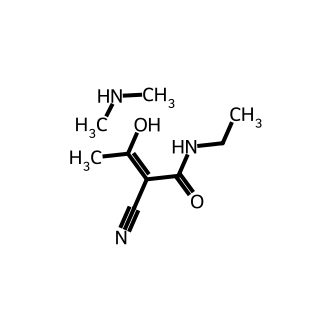 CCNC(=O)C(C#N)=C(C)O.CNC